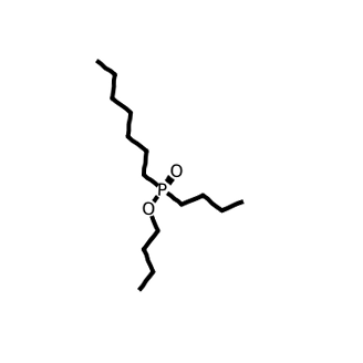 CCCCCCCP(=O)(CCCC)OCCCC